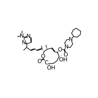 C/C(=C\C=C\C(C)c1ccnc(N(C)C)n1)[C@H]1OC(=O)C[C@@H](O)CC[C@](C)(O)[C@H](OC(=O)N2CCN(C3CCCCCC3)CC2)/C=C/[C@@H]1C